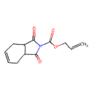 C=CCOC(=O)N1C(=O)C2CC=CCC2C1=O